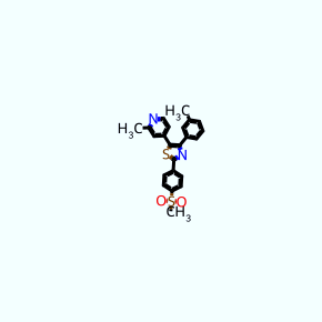 Cc1cccc(-c2nc(-c3ccc(S(C)(=O)=O)cc3)sc2-c2ccnc(C)c2)c1